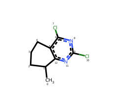 CC1CCCc2c(Cl)nc(Cl)nc21